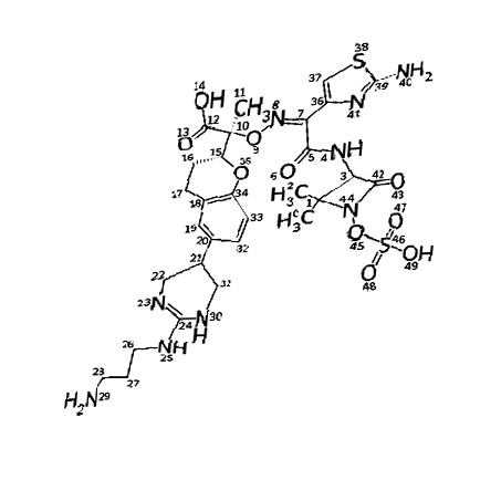 CC1(C)C(NC(=O)/C(=N\O[C@](C)(C(=O)O)[C@H]2CCc3cc(C4CN=C(NCCCN)NC4)ccc3O2)c2csc(N)n2)C(=O)N1OS(=O)(=O)O